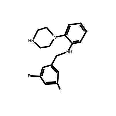 Fc1cc(F)cc(CNc2c[c]ccc2N2CCNCC2)c1